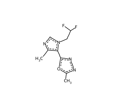 Cc1nnc(-c2c(C)ncn2CC(F)F)o1